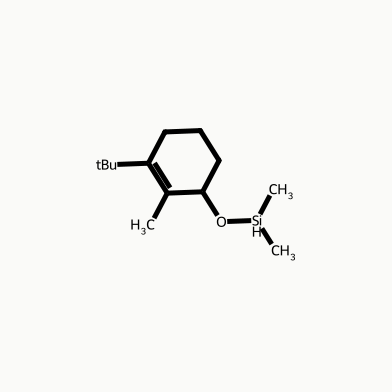 CC1=C(C(C)(C)C)CCCC1O[SiH](C)C